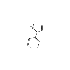 C=CC([Te]C)c1ccccc1